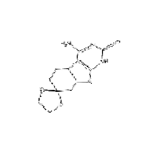 Nc1nc(=O)[nH]c2c1C1CCC3(CC1S2)OCCO3